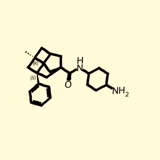 C[C@]12CC3CC4(C(=O)NC5CCC(N)CC5)CC31[C@](c1ccccc1)(C4)C2